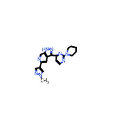 Cn1cc(-c2cc3c(-c4ccnc(N5CCCCC5)n4)n[nH]c3cn2)cn1